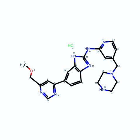 COCc1cc(-c2ccc3nc(Nc4cc(CN5CCNCC5)ccn4)[nH]c3c2)ncn1.Cl